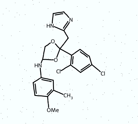 COc1ccc(NC2COC(Cc3ncc[nH]3)(c3ccc(Cl)cc3Cl)O2)cc1C